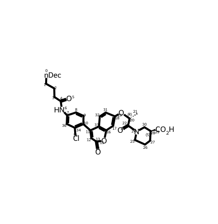 CCCCCCCCCCCCCC(=O)Nc1ccc(-c2cc(=O)oc3cc(O[C@H](C)C(=O)N4CCC[C@H](C(=O)O)C4)ccc23)c(Cl)c1